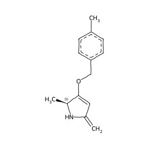 C=C1C=C(OCc2ccc(C)cc2)[C@H](C)N1